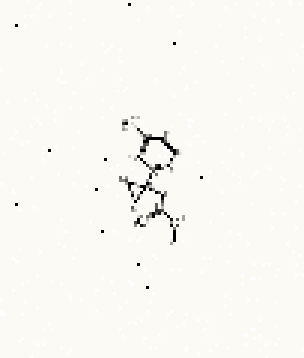 COC(=O)CC1(c2cccc(Br)c2)CC1